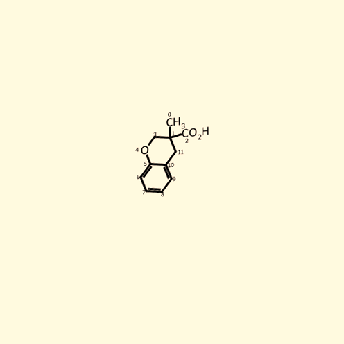 CC1(C(=O)O)COc2ccccc2C1